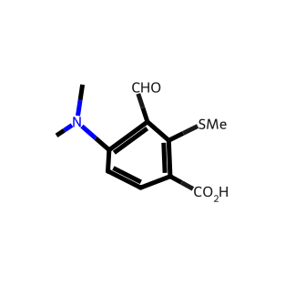 CSc1c(C(=O)O)ccc(N(C)C)c1C=O